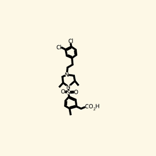 Cc1ccc(S(=O)(=O)N2C(C)CN(CCc3ccc(Cl)c(Cl)c3)CC2C)cc1CC(=O)O